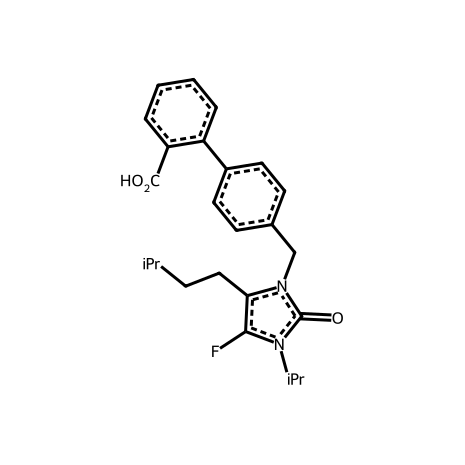 CC(C)CCc1c(F)n(C(C)C)c(=O)n1Cc1ccc(-c2ccccc2C(=O)O)cc1